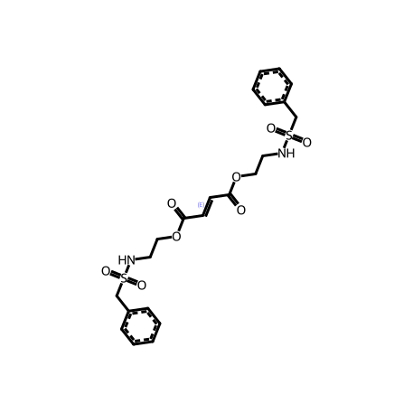 O=C(/C=C/C(=O)OCCNS(=O)(=O)Cc1ccccc1)OCCNS(=O)(=O)Cc1ccccc1